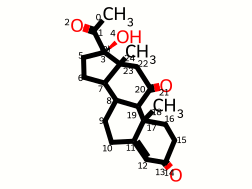 CC(=O)[C@@]1(O)CCC2C3CCC4=CC(=O)CCC4(C)C3C(=O)CC21C